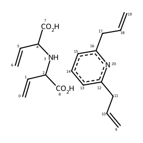 C=CC(NC(C=C)C(=O)O)C(=O)O.C=CCc1cccc(CC=C)n1